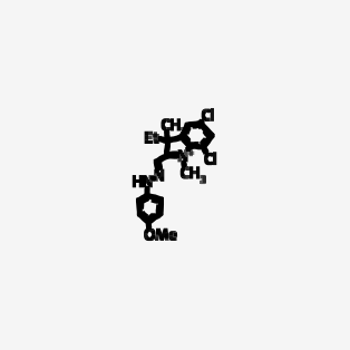 CCC1(C)C(/C=N/Nc2ccc(OC)cc2)=[N+](C)c2c(Cl)cc(Cl)cc21